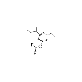 [CH2]C(C=C)c1cc(CC)cc(OC(F)F)c1